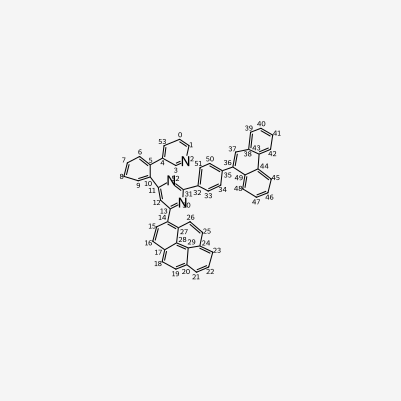 c1cncc(-c2ccccc2-c2cc(-c3ccc4ccc5cccc6ccc3c4c56)nc(-c3ccc(-c4cc5ccccc5c5ccccc45)cc3)n2)c1